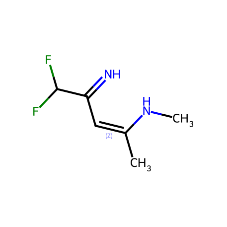 CN/C(C)=C\C(=N)C(F)F